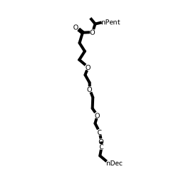 CCCCCCCCCCCCOCCOCCOCCOCCCC(=O)OC(C)CCCCC